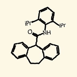 CC(C)c1cccc(C(C)C)c1NC(=O)C1c2ccccc2CCc2ccccc21